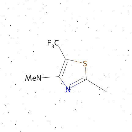 CNc1nc(C)sc1C(F)(F)F